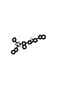 c1ccc(-c2nc(-c3ccc4ccccc4c3)nc(-c3ccc(-c4ccc5c(c4)oc4cc(-c6ccc7ccccc7c6)ccc45)c4ccccc34)n2)cc1